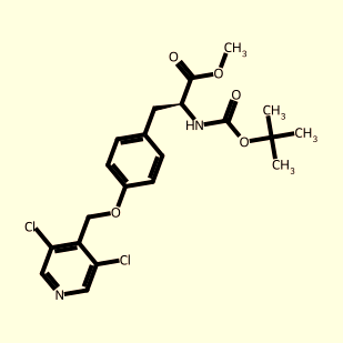 COC(=O)[C@H](Cc1ccc(OCc2c(Cl)cncc2Cl)cc1)NC(=O)OC(C)(C)C